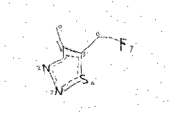 Cc1nnsc1CF